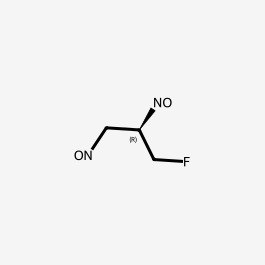 O=NC[C@H](CF)N=O